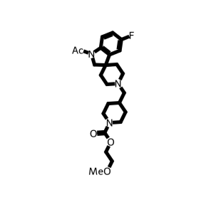 COCCOC(=O)N1CCC(CN2CCC3(CC2)CN(C(C)=O)c2ccc(F)cc23)CC1